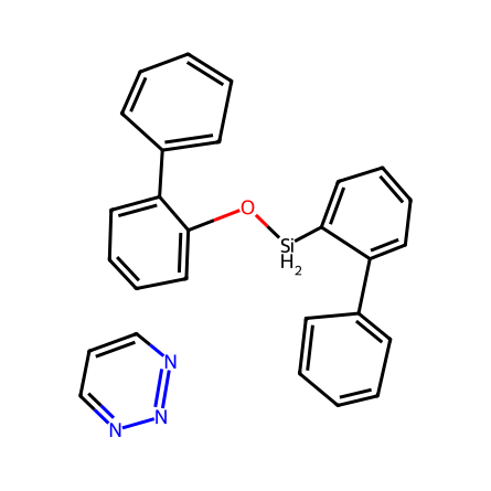 c1ccc(-c2ccccc2O[SiH2]c2ccccc2-c2ccccc2)cc1.c1cnnnc1